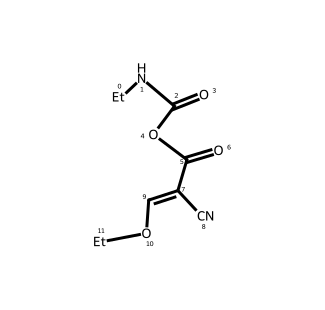 CCNC(=O)OC(=O)C(C#N)=COCC